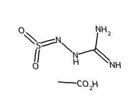 CC(=O)O.N=C(N)NN=S(=O)=O